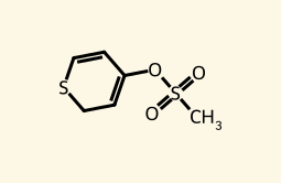 CS(=O)(=O)OC1=CCSC=C1